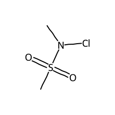 CN(Cl)S(C)(=O)=O